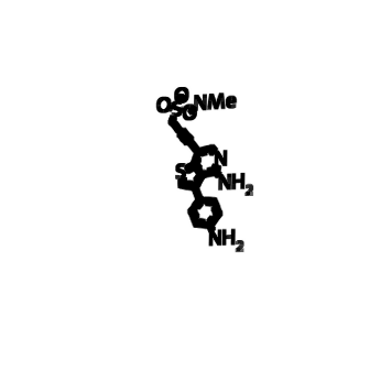 CNOS(=O)(=O)CC#Cc1cnc(N)c2c(-c3ccc(N)cc3)csc12